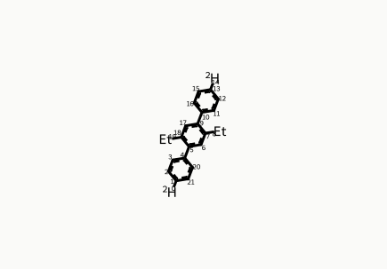 [2H]c1ccc(-c2cc(CC)c(-c3ccc([2H])cc3)cc2CC)cc1